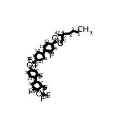 CCCCCC1COC(c2ccc(C3CCC(C(F)(F)Oc4ccc(-c5cc(F)c(OC(F)(F)F)c(F)c5)c(F)c4)CC3)c(F)c2)OC1